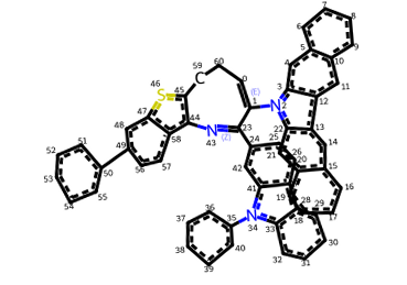 C1=C(n2c3cc4ccccc4cc3c3cc4ccccc4cc32)\C(c2ccc3c4ccccc4n(-c4ccccc4)c3c2)=N/c2c(sc3cc(-c4ccccc4)ccc23)CC/1